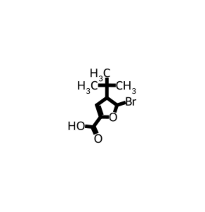 CC(C)(C)C1C=C(C(=O)O)OC1Br